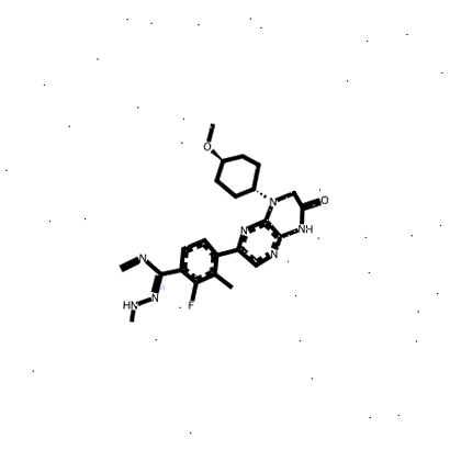 C=N/C(=N\NC)c1ccc(-c2cnc3c(n2)N([C@H]2CC[C@H](OC)CC2)CC(=O)N3)c(C)c1F